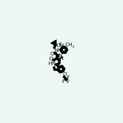 Cc1ccc(-n2nc3c(c2C(=O)NCC2(O)CC2)C(=O)N[C@@]2(CCc4cc(OCC(F)(F)F)ccc42)C3)cc1F